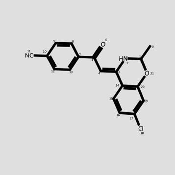 CC1N/C(=C\C(=O)c2ccc(C#N)cc2)c2ccc(Cl)cc2O1